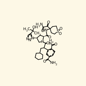 CC(C)(O)c1cnnn1[C@H]1C[C@@H](C(=O)NC2(C(=O)C(N)=O)CCS(=O)(=O)CC2)N(C(=O)C(CC2CCCCC2)c2cc(C(N)=O)ccc2C(N)=O)C1